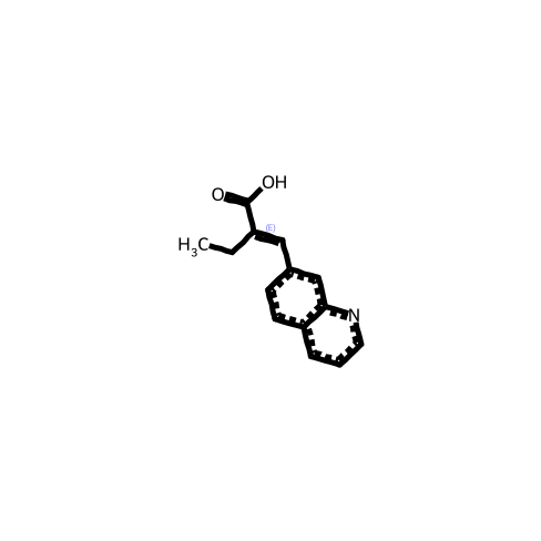 CC/C(=C\c1ccc2cccnc2c1)C(=O)O